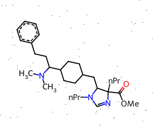 CCCN1C=NC(CCC)(C(=O)OC)C1CC1CCC(C(CCc2ccccc2)N(C)C)CC1